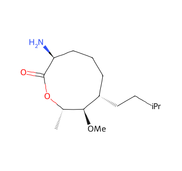 CO[C@@H]1[C@@H](CCC(C)C)CCC[C@H](N)C(=O)O[C@H]1C